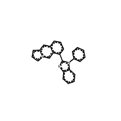 c1ccc(-n2c(-c3cccc4cc5cccn5cc34)nc3ccccc32)cc1